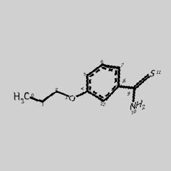 CCCOc1cccc(C(N)=S)c1